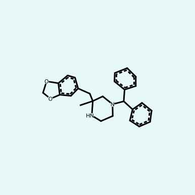 CC1(Cc2ccc3c(c2)OCO3)CN(C(c2ccccc2)c2ccccc2)CCN1